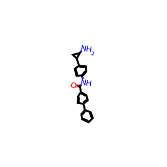 NC1CC1c1ccc(NC(=O)c2ccc(-c3ccccc3)cc2)cc1